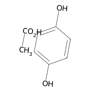 CC(=O)O.Oc1ccc(O)cc1